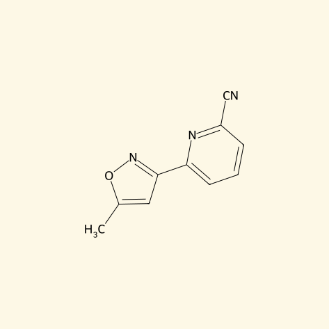 Cc1cc(-c2cccc(C#N)n2)no1